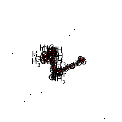 Cc1c[nH]c2c(OC(=S)N(C)CCN(C)C(=S)OCC3=CCC(NC(=O)C(CCCNC(N)=O)NC(=O)[C@@H](NC(=O)CCOCCOCCOCCOCCOCCOCCN4C(=O)C=CC4=O)C(C)C)C=C3)cc3c(c12)C(CCl)CN3C(C)C12CC(C(=O)N3C[C@@H](CCl)c4c3cc(OP(=O)(O)O)c3[nH]cc(C)c43)(C1)C2